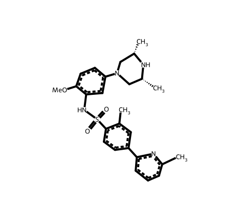 COc1ccc(N2C[C@@H](C)N[C@@H](C)C2)cc1NS(=O)(=O)c1ccc(-c2cccc(C)n2)cc1C